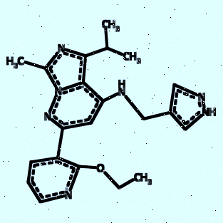 CCOc1ncccc1-c1cc(NCc2cn[nH]c2)c2c(C(C)C)nc(C)n2n1